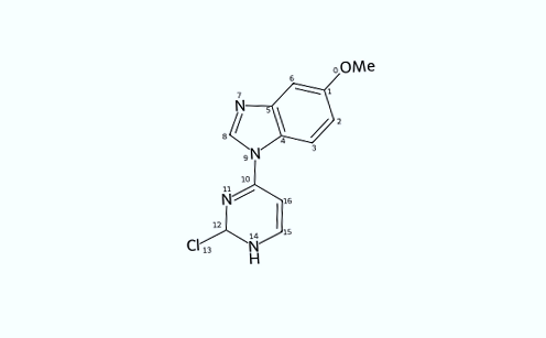 COc1ccc2c(c1)ncn2C1=NC(Cl)NC=C1